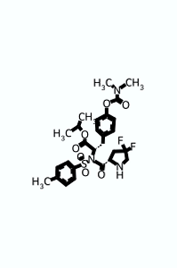 Cc1ccc(S(=O)(=O)N(C(=O)[C@@H]2CC(F)(F)CN2)[C@@H](Cc2ccc(OC(=O)N(C)C)cc2)C(=O)OC(C)C)cc1